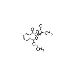 CC1=COC1=O.CCOC(=O)c1ccccc1C(=O)O